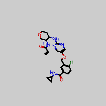 C=CC(=O)N[C@H]1COCC[C@H]1Nc1ncc(OCc2cc(C(=O)NC3CC3)ccc2Cl)cn1